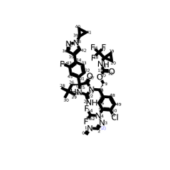 C=N/C=N\N(c1cc([C@@H](COC(=O)NC2(C(F)(F)F)CC2)N2C(=N)N[C@](CC(C)(C)C)(c3ccc(-c4cnn(C5CC5)c4)c(F)c3)C2=O)ccc1Cl)C(F)F